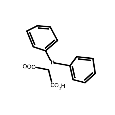 O=C([O-])CC(=O)O.c1ccc([I+]c2ccccc2)cc1